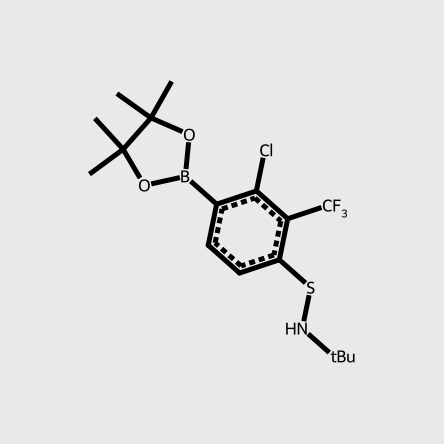 CC(C)(C)NSc1ccc(B2OC(C)(C)C(C)(C)O2)c(Cl)c1C(F)(F)F